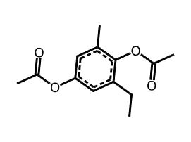 CCc1cc(OC(C)=O)cc(C)c1OC(C)=O